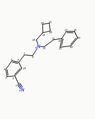 N#Cc1cccc(CCN(CCc2ccccc2)CC2CCC2)c1